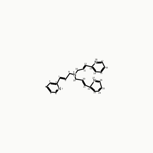 C(=Cc1ccccn1)CN(CC=Cc1ccccn1)CC=Cc1ccccn1